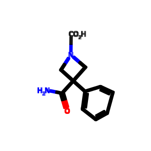 NC(=O)C1(c2ccccc2)CN(C(=O)O)C1